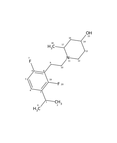 CC(C)c1ccc(F)c(CCN2CCC(O)CC2C)c1F